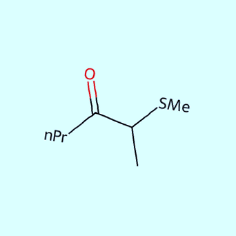 CCCC(=O)C(C)SC